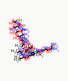 CC(C)C[C@H](N)C(=O)OC(=O)[C@@H](N)Cc1ccccc1.CC(C)C[C@H](N)C(=O)O[C@H](C)[C@H](N)C(=O)O[C@H](C)[C@H](N)C(=O)O.CC(C)[C@H](N)C(=O)O.CC(C)[C@H](N)C(=O)O.C[C@H](N)C(=O)O.NC(=O)C[C@H](N)C(=O)O.NC(=O)C[C@H](N)C(=O)OC(=O)[C@@H](N)CC(N)=O.NCC(=O)OC[C@H](N)C(=O)O.N[C@@H](CCC(=O)O)C(=O)O.N[C@@H](CS)C(=O)O